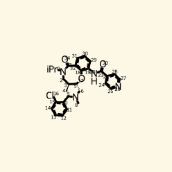 CC(C)N1C[C@H](C)[C@@H](CN(C)Cc2ccccc2Cl)Oc2c(NC(=O)c3ccncc3)cccc2C1=O